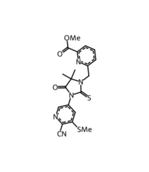 COC(=O)c1cccc(CN2C(=S)N(c3cnc(C#N)c(SC)c3)C(=O)C2(C)C)n1